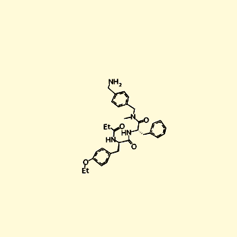 CCOc1ccc(C[C@@H](NC(=O)CC)C(=O)N[C@@H](Cc2ccccc2)C(=O)N(C)Cc2ccc(CN)cc2)cc1